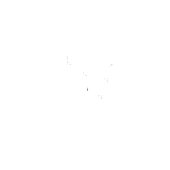 C=CC[C@@]12C[C@H]3c4nc5ccccc5c(=O)n4[C@H](C)C(=O)N3[C@@H]1Nc1ccccc12